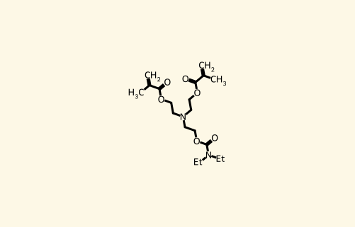 C=C(C)C(=O)OCCN(CCOC(=O)C(=C)C)CCOC(=O)N(CC)CC